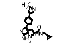 Cn1cc(-c2ccc(-c3cnc(N)c4ncc(C(=O)NCC5CC5)cc34)cc2)cn1